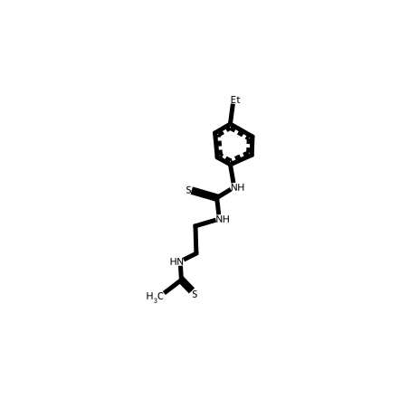 CCc1ccc(NC(=S)NCCNC(C)=S)cc1